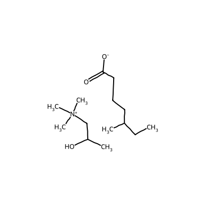 CC(O)C[N+](C)(C)C.CCC(C)CCCC(=O)[O-]